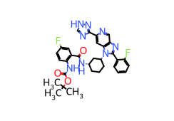 CC(C)(C)OC(=O)Nc1ccc(F)cc1C(=O)N[C@H]1CCC[C@@H](n2c(-c3ccccc3F)nc3cnc(-c4nc[nH]n4)cc32)C1